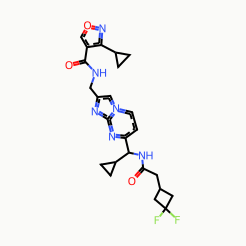 O=C(CC1CC(F)(F)C1)NC(c1ccn2cc(CNC(=O)c3conc3C3CC3)nc2n1)C1CC1